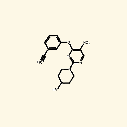 C#Cc1cccc(Oc2nc(N3CCC(CCC)CC3)ncc2[N+](=O)[O-])c1